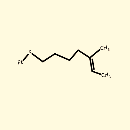 [CH2]CSCCCCC(C)=CC